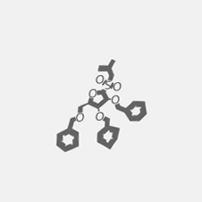 C=C(C)CS(=O)(=O)C1O[C@H](COCc2ccccc2)[C@@H](OCc2ccccc2)[C@H]1OCc1ccccc1